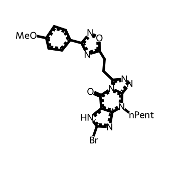 CCCCCn1c2nc(Br)[nH]c2c(=O)n2c(CCc3nc(-c4ccc(OC)cc4)no3)nnc12